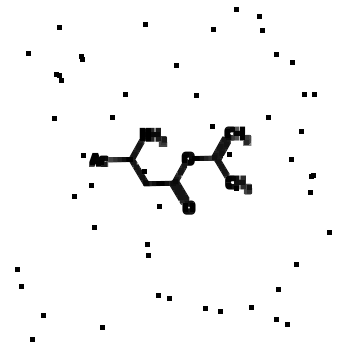 C=C(C)OC(=O)CC(N)C(C)=O